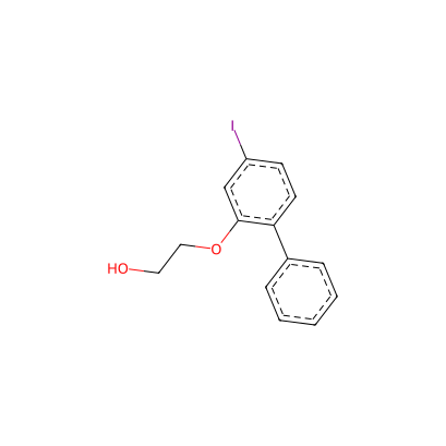 OCCOc1cc(I)ccc1-c1ccccc1